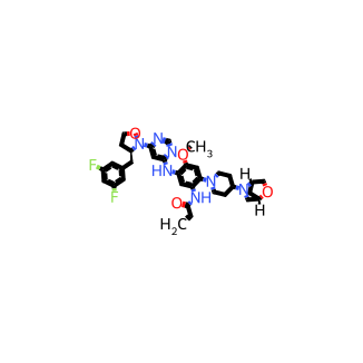 C=CC(=O)Nc1cc(Nc2cc(N3OCC[C@@H]3Cc3cc(F)cc(F)c3)ncn2)c(OC)cc1N1CCC(N2C[C@@H]3C[C@H]2CO3)CC1